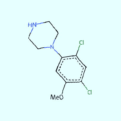 COc1cc(N2CCNCC2)c(Cl)cc1Cl